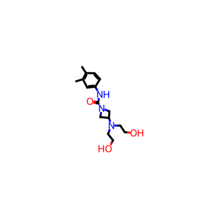 Cc1ccc(NC(=O)N2CC(N(CCO)CCO)C2)cc1C